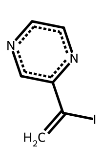 C=C(I)c1cnccn1